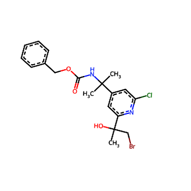 CC(O)(CBr)c1cc(C(C)(C)NC(=O)OCc2ccccc2)cc(Cl)n1